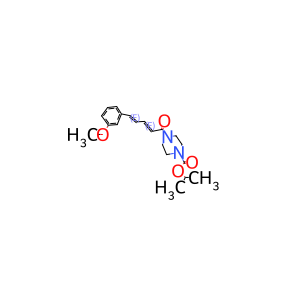 COc1cccc(/C=C/C=C/C(=O)N2CCN(C(=O)OC(C)C)CC2)c1